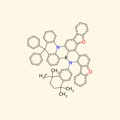 CC1(C)CCC(C)(C)c2cc(N3B4c5cccc6c5N(c5ccccc5C6(c5ccccc5)c5ccccc5)c5cc6c(oc7ccccc76)c(c54)-c4ccc5oc6ccccc6c5c43)ccc21